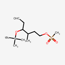 CC(CCOS(C)(=O)=O)C(CC=O)O[Si](C)(C)C(C)(C)C